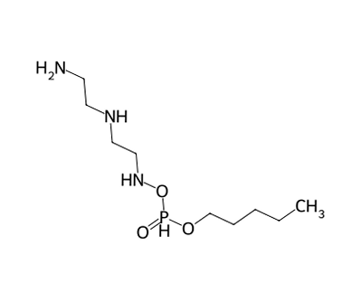 CCCCCO[PH](=O)ONCCNCCN